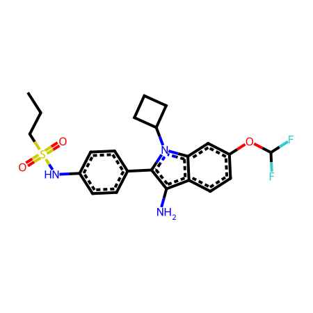 CCCS(=O)(=O)Nc1ccc(-c2c(N)c3ccc(OC(F)F)cc3n2C2CCC2)cc1